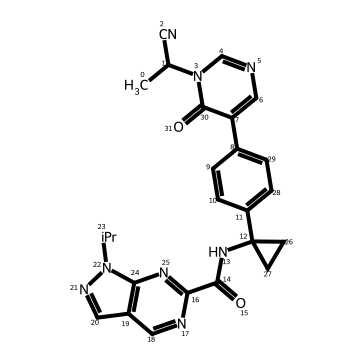 CC(C#N)n1cncc(-c2ccc(C3(NC(=O)c4ncc5cnn(C(C)C)c5n4)CC3)cc2)c1=O